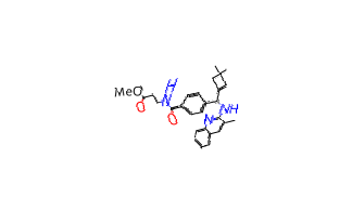 COC(=O)CCNC(=O)c1ccc([C@@H](Nc2nc3ccccc3cc2C)C2CC(C)(C)C2)cc1